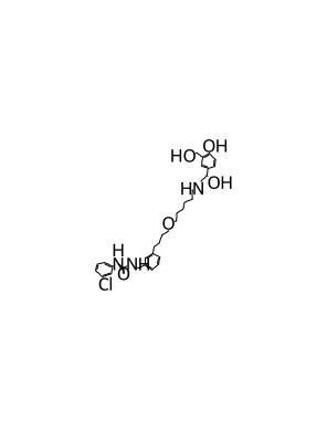 O=C(NCc1cccc(CCCCOCCCCCCNC[C@@H](O)c2ccc(O)c(CO)c2)c1)Nc1cccc(Cl)c1